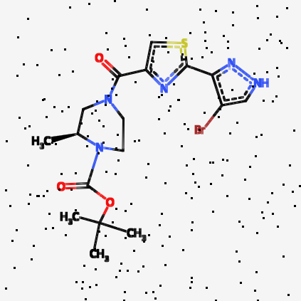 C[C@H]1CN(C(=O)c2csc(-c3n[nH]cc3Br)n2)CCN1C(=O)OC(C)(C)C